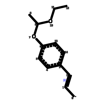 [CH2]/C=C/c1ccc(OC(C)OCC)cc1